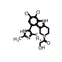 Cc1nc(C)c(-c2cc(Cl)c(Cl)c3[nH]c4c(c23)CN(C(=O)CO)CC4)[nH]1